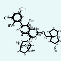 CC(C)c1c(Cl)cc(O)cc1-c1ncc2c(N3C[C@H]4CC[C@@H](C3)N4)nc(OC[C@@]34CCCN3C[C@H](F)C4)nc2c1F